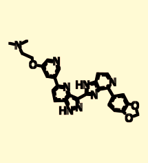 CN(C)CCOc1cncc(-c2ccc3[nH]nc(-c4nc5c(-c6ccc7c(c6)OCO7)nccc5[nH]4)c3n2)c1